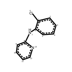 Clc1ccccc1Nc1ccccn1